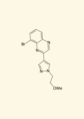 COCCn1cc(-c2cnc3cccc(Br)c3n2)cn1